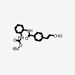 CC(C)(C)OC(=O)Nc1ccccc1NC(=O)c1ccc(/C=C/C=O)cc1